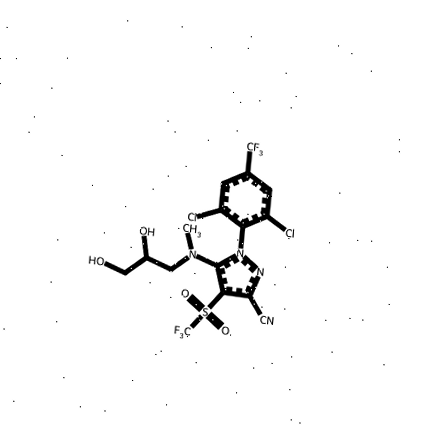 CN(CC(O)CO)c1c(S(=O)(=O)C(F)(F)F)c(C#N)nn1-c1c(Cl)cc(C(F)(F)F)cc1Cl